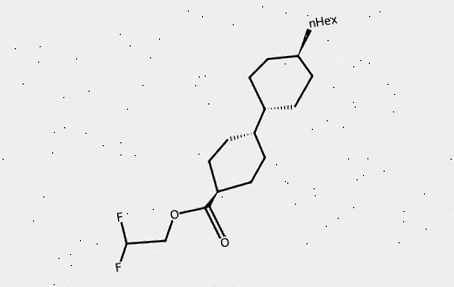 CCCCCC[C@H]1CC[C@H]([C@H]2CC[C@H](C(=O)OCC(F)F)CC2)CC1